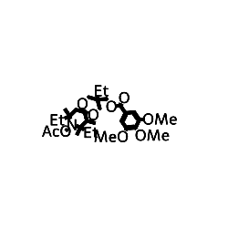 CCC1(COC(=O)c2cc(OC)c(OC)c(OC)c2)COC2(CC(C)(CC)N(OC(C)=O)C(C)(CC)C2C)OC1